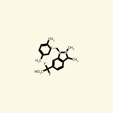 CC1=CC=C(C)[C@H](CN2c3cc(C(F)(F)C(=O)O)ccc3C(C)N2C)C1